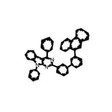 c1ccc(-c2nc(-c3cccc(-c4cccc(-c5cc6ccccc6c6ccccc56)c4)c3)nc3c2c2ccccc2n3-c2ccccc2)cc1